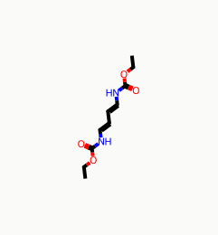 CCOC(=O)N/C=C/C=C/NC(=O)OCC